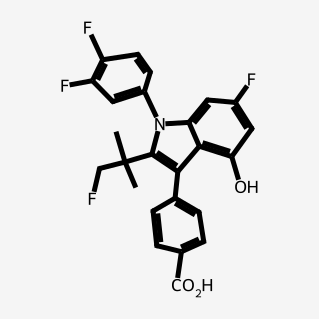 CC(C)(CF)c1c(-c2ccc(C(=O)O)cc2)c2c(O)cc(F)cc2n1-c1ccc(F)c(F)c1